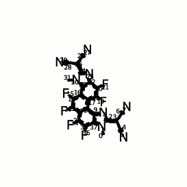 Cn1c(=C(C#N)C#N)nc2c3c(c(F)c(F)c4c3c(F)c(F)c3nc(=C(C#N)C#N)n(C)c34)c(F)c(F)c21